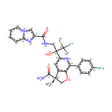 C[C@]1(C(N)=O)COc2c1cc(C(O)(CNC(=O)c1cn3ccccc3n1)C(F)(F)F)nc2-c1ccc(F)cc1